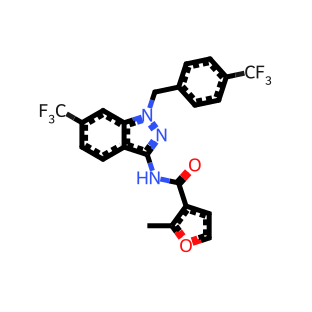 Cc1occc1C(=O)Nc1nn(Cc2ccc(C(F)(F)F)cc2)c2cc(C(F)(F)F)ccc12